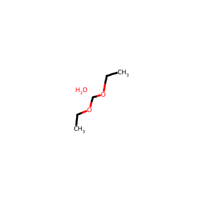 CCOCOCC.O